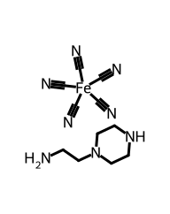 N#[C][Fe]([C]#N)([C]#N)([C]#N)[C]#N.NCCN1CCNCC1